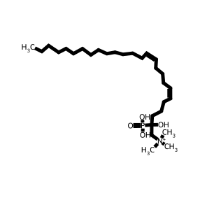 CCCCCCCCCCCCCC/C=C\CCC/C=C\CCCC(O)(C[N+](C)(C)C)P(=O)(O)O